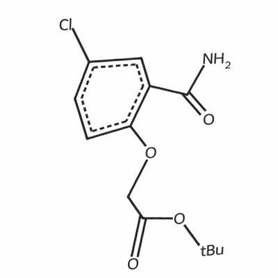 CC(C)(C)OC(=O)COc1ccc(Cl)cc1C(N)=O